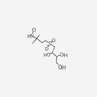 CC(C)(CCS(=O)(=O)CC(O)C(O)CO)NCl